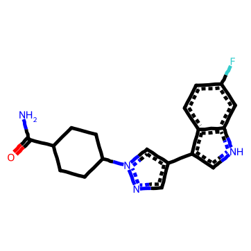 NC(=O)C1CCC(n2cc(-c3c[nH]c4cc(F)ccc34)cn2)CC1